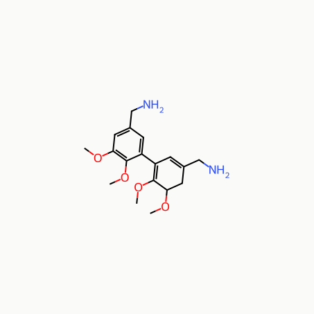 COC1=C(c2cc(CN)cc(OC)c2OC)C=C(CN)CC1OC